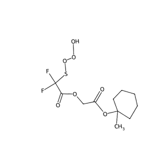 CC1(OC(=O)COC(=O)C(F)(F)SOOO)CCCCC1